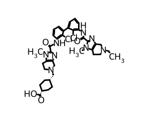 CCN1CCc2c(nc(C(=O)Nc3cccc(-c4cccc(NC(=O)c5nc6c(n5C)CCN(C[C@H]5CC[C@@H](C(=O)O)CC5)C6)c4Cl)c3Cl)n2C)C1